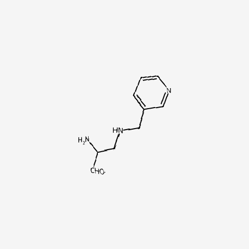 NC([C]=O)CNCc1cccnc1